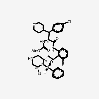 CC[C@@H]1CNC[C@H](CCc2c(F)cccc2NC(=O)[C@@H](NC(=O)OC)C(c2ccc(Cl)cc2)C2CCOCC2)N1S(=O)(=O)c1ccccc1